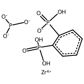 O=P([O-])(O)c1ccccc1P(=O)(O)O.[O-]P([O-])[O-].[Zr+4]